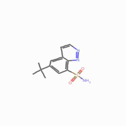 CC(C)(C)c1cc(S(N)(=O)=O)c2nnccc2c1